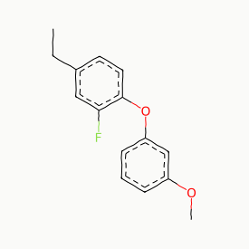 CCc1ccc(Oc2cccc(OC)c2)c(F)c1